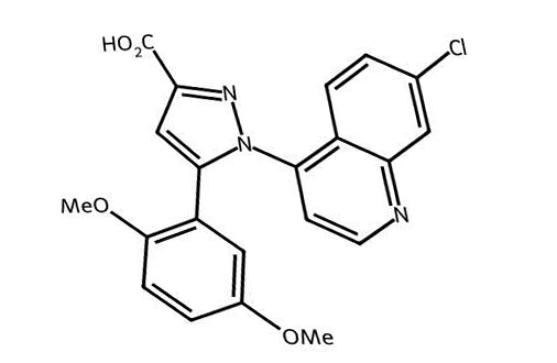 COc1ccc(OC)c(-c2cc(C(=O)O)nn2-c2ccnc3cc(Cl)ccc23)c1